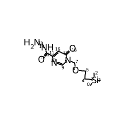 C[Si](C)(C)CCOCn1cnc(C(=O)NN)cc1=O